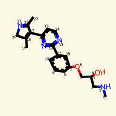 CNCC(O)COc1cccc(-c2nccc(C3=C(C)CN=C3C)n2)c1